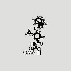 COC(=O)[C@H](O)NC(=O)c1cc(C2CC2)c(OCC23CC4CC(CC(C4)C2)C3)cc1F